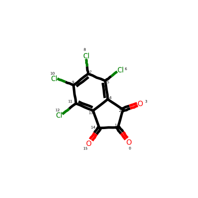 O=c1c(=O)c2c(Cl)c(Cl)c(Cl)c(Cl)c2c1=O